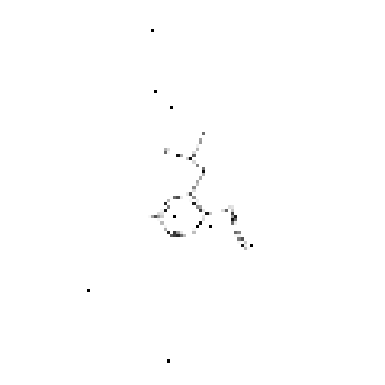 O=C=Nc1ccc(Cl)cc1SC(F)F